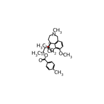 C=C(C)[C@@]12CCN(C)Cc3ccc(OC)c(c31)O[C@H]2C[C@H](C)OC(=O)c1ccc(C)cc1